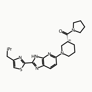 CC(C)Cc1csc(-c2nc3ccc(N4CCC[C@@H](C(=O)N5CCCC5)C4)nc3[nH]2)n1